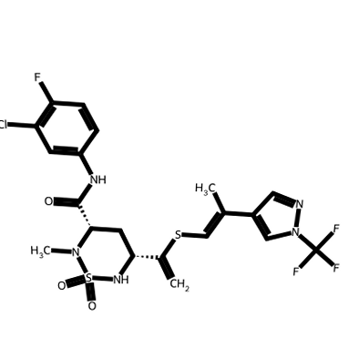 C=C(S/C=C(\C)c1cnn(C(F)(F)F)c1)[C@H]1C[C@@H](C(=O)Nc2ccc(F)c(Cl)c2)N(C)S(=O)(=O)N1